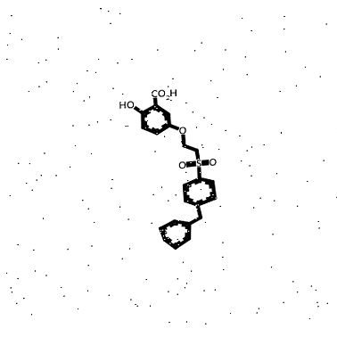 O=C(O)c1cc(OCCS(=O)(=O)c2ccc(Cc3ccccc3)cc2)ccc1O